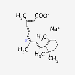 CC(C=C/C=C(/C)C=CC1=C(C)CCCC1(C)C)=CC(=O)[O-].[Na+]